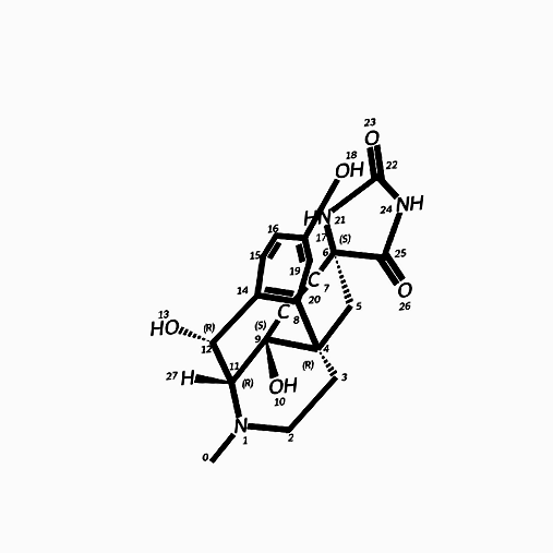 CN1CC[C@]23C[C@]4(CC[C@@]2(O)[C@H]1[C@H](O)c1ccc(O)cc13)NC(=O)NC4=O